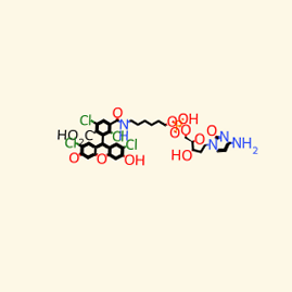 Nc1ccn([C@H]2C[C@@H](O)[C@@H](COP(=O)(O)OCCCCCCNC(=O)c3cc(Cl)c(C(=O)O)c(-c4c5cc(Cl)c(=O)cc-5oc5cc(O)c(Cl)cc45)c3Cl)O2)c(=O)n1